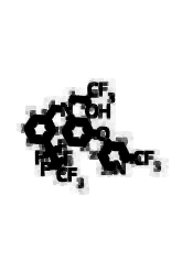 O[C@H](CN(Cc1cccc(C(F)(F)C(F)(F)C(F)(F)F)c1)c1cccc(Oc2ccnc(C(F)(F)F)c2)c1)C(F)(F)F